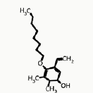 C=CC1=CC(O)C(C)C(C)=C1OCCCCCCCC